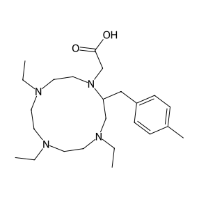 CCN1CCN(CC)CCN(CC(=O)O)C(Cc2ccc(C)cc2)CN(CC)CC1